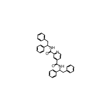 O=C(NC(Cc1ccccc1)c1ccccc1)c1ccnc(C(=O)NC(Cc2ccccc2)c2ccccc2)c1